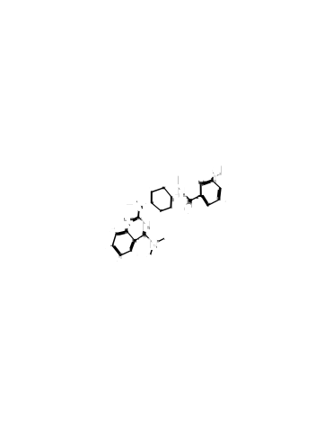 CN(C)c1nc(N[C@H]2CC[C@@H](NC(=O)c3cccc(Cl)c3F)CC2)nc2ccccc12